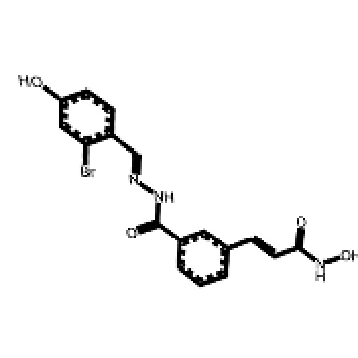 O=C(/C=C/c1cccc(C(=O)N/N=C/c2ccc(O)cc2Br)c1)NO